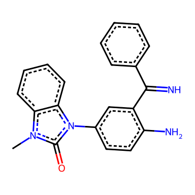 Cn1c(=O)n(-c2ccc(N)c(C(=N)c3ccccc3)c2)c2ccccc21